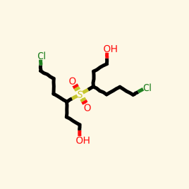 O=S(=O)(C(CCO)CCCCl)C(CCO)CCCCl